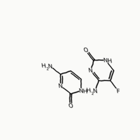 Nc1cc[nH]c(=O)n1.Nc1nc(=O)[nH]cc1F